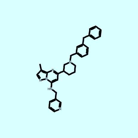 Cc1cnn2c(NCc3cccnc3)cc(C3CCCN(Cc4cccc(Cc5ccccc5)c4)C3)nc12